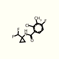 Cc1c(F)ccc(C(=O)NC2(C(F)F)CC2)c1Cl